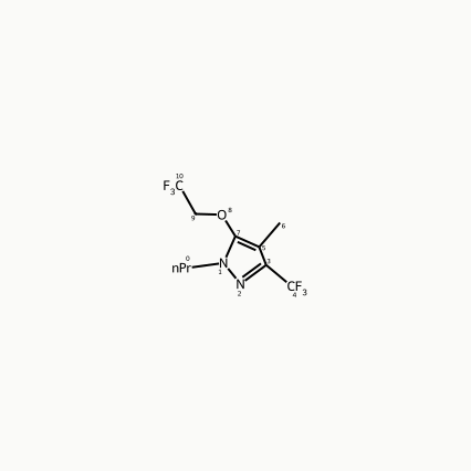 CCCn1nc(C(F)(F)F)c(C)c1OCC(F)(F)F